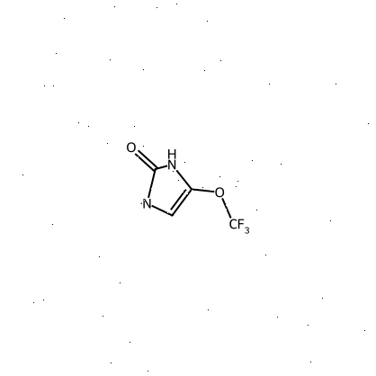 O=C1[N]C=C(OC(F)(F)F)N1